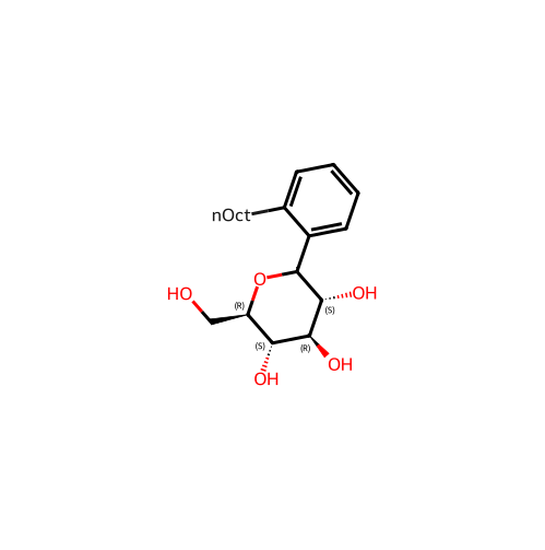 CCCCCCCCc1ccccc1[C]1O[C@H](CO)[C@@H](O)[C@H](O)[C@H]1O